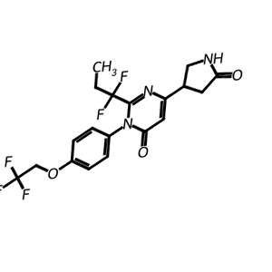 CCC(F)(F)c1nc(C2CNC(=O)C2)cc(=O)n1-c1ccc(OCC(F)(F)F)cc1